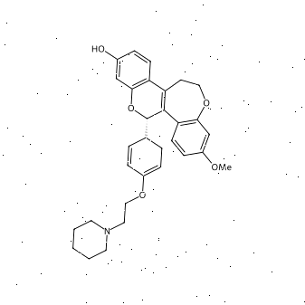 COc1ccc2c(c1)OCCC1=C2[C@H](C2C=CC(OCCN3CCCCC3)=CC2)Oc2cc(O)ccc21